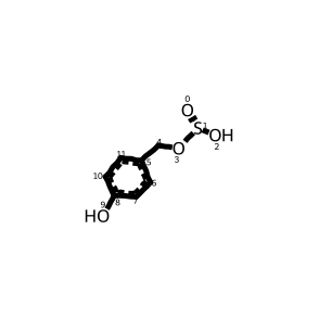 O=S(O)OCc1ccc(O)cc1